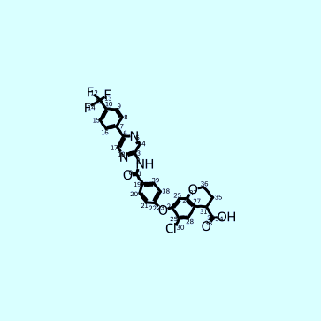 O=C(Nc1cnc(-c2ccc(C(F)(F)F)cc2)cn1)c1ccc(Oc2cc3c(cc2Cl)C(C(=O)O)CCO3)cc1